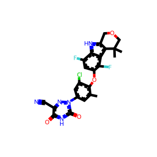 Cc1cc(-n2nc(C#N)c(=O)[nH]c2=O)cc(Cl)c1Oc1cc(F)c2[nH]c3c(c2c1F)C(C)(C)COC3